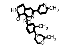 Cc1ccc(-c2cc3cc[nH]c(=O)c3c(Nc3ccc(N4CCO[C@H](C)C4)c(C)c3)n2)cn1